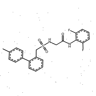 Cc1ccc(-c2ccccc2CS(=O)(=O)NCC(=O)Nc2c(F)cccc2F)cc1